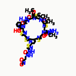 COCc1sc2nc1C(=O)N(N)CC(=O)N[C@@H]([C@@H](O)c1ccccc1)c1nc(cs1)-c1nc(cs1)-c1nc(-c3nc(NC(=O)NCCC(=O)N=O)cs3)ccc1-c1nc(cs1)C(=O)N[C@@H](CC(=O)N(C)N)c1nc(c(C)s1)C(=O)N[C@H]2C(C)C